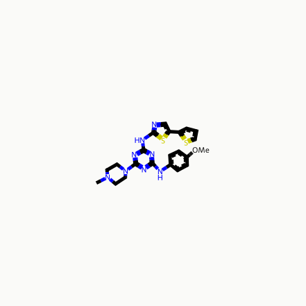 COc1ccc(Nc2nc(Nc3ncc(-c4cccs4)s3)nc(N3CCN(C)CC3)n2)cc1